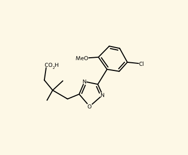 COc1ccc(Cl)cc1-c1noc(CC(C)(C)CC(=O)O)n1